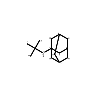 CC(C)(C)SC12CC3CC(CC(C3)C1)C2